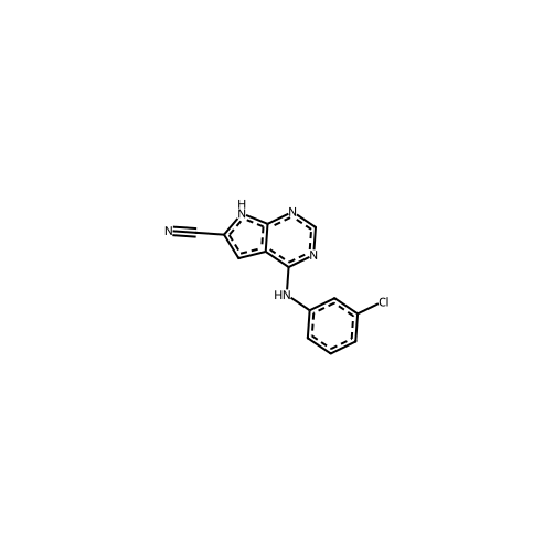 N#Cc1cc2c(Nc3cccc(Cl)c3)ncnc2[nH]1